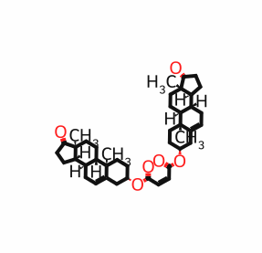 C[C@]12CC[C@H](OC(=O)/C=C\C(=O)O[C@H]3CC[C@@]4(C)C(=CC[C@@H]5[C@@H]4CC[C@]4(C)C(=O)CC[C@@H]54)C3)CC1=CC[C@@H]1[C@@H]2CC[C@]2(C)C(=O)CC[C@@H]12